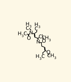 CC/C(=C\CC(N=C(Cl)/C=C(\CC)N(CC)C(C)=O)OC)OC